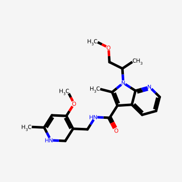 COCC(C)n1c(C)c(C(=O)NCC2=C(OC)C=C(C)NC2)c2cccnc21